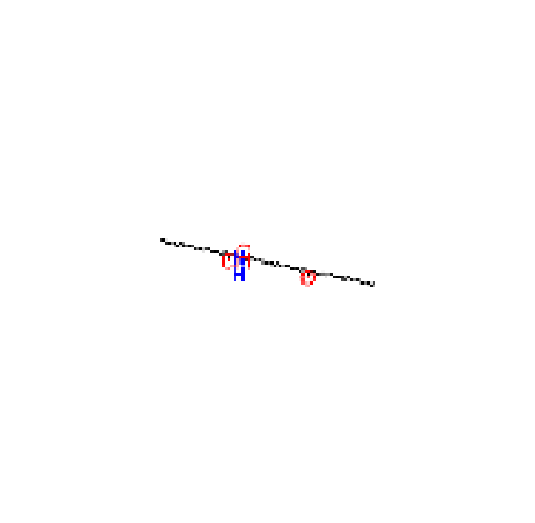 CCCCCCCCCCCCCCCCC(O)CNC(=O)CCCCCCCCCCCCCCC(=O)CCCCCCCCCCCCCCC